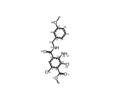 COC(=O)c1c(Cl)cc(C(=O)NCc2cccc(OC)c2)c(N)c1Cl